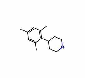 Cc1cc(C)c(C2CC[N]CC2)c(C)c1